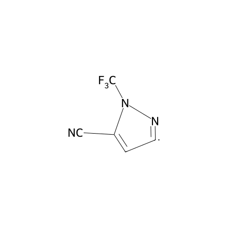 N#Cc1c[c]nn1C(F)(F)F